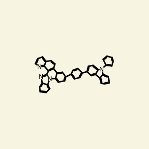 c1ccc(-n2c3ccccc3c3cc(-c4ccc(-c5ccc6c(c5)c5ccc7cccnc7c5c5nc7ccccc7n65)cc4)ccc32)cc1